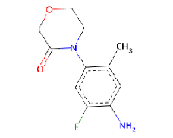 Cc1cc(N)c(F)cc1N1CCOCC1=O